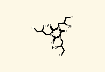 O=c1n(CC(O)CCl)c(=O)n(CC(O)CCl)c(=O)n1CC(O)CCl